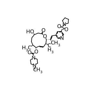 C/C(=C\c1cncc(S(=O)(=O)N2CCCC2)c1)[C@H]1OC(=O)C[C@H](O)CC[C@H](C)[C@@H](OC(=O)N2CCN(C)CC2)/C=C/[C@@H]1C